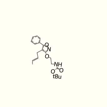 CC=CCc1c(OCCNC(=O)OC(C)(C)C)noc1-c1ccccc1